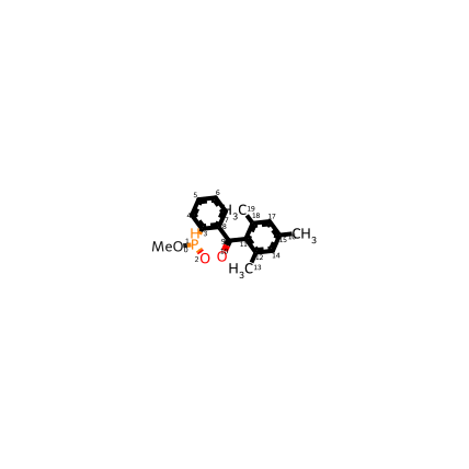 CO[PH](=O)c1ccccc1C(=O)c1c(C)cc(C)cc1C